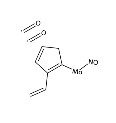 C=CC1=[C]([Mo][N]=O)CC=C1.[C]=O.[C]=O